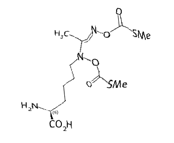 CSC(=O)ON=C(C)N(CCCC[C@H](N)C(=O)O)OC(=O)SC